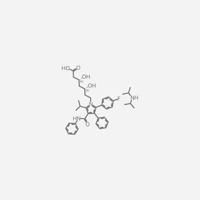 CC(C)NC(C)C.CC(C)c1c(C(=O)Nc2ccccc2)c(-c2ccccc2)c(-c2ccc(F)cc2)n1CC[C@@H](O)C[C@@H](O)CC(=O)O